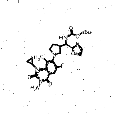 Cc1c(N2CCC(C(NC(=O)OC(C)(C)C)c3ncco3)C2)c(F)cc2c(=O)n(N)c(=O)n(C3CC3)c12